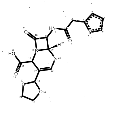 O=C(Cc1cccs1)NC1C(=O)N2C(C(=O)O)C(C3OCCO3)=CS[C@@H]12